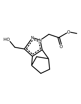 COC(=O)Cn1nc(CO)c2c1C1CCC2C1